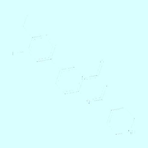 CCc1ccc(-c2ccc3nc(C4=CCNCC4)cc(=O)n3c2)cc1F